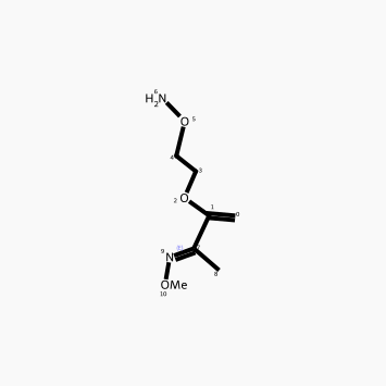 C=C(OCCON)/C(C)=N/OC